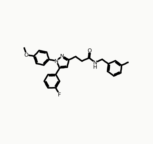 COc1ccc(-n2nc(CCC(=O)NCc3cccc(C)c3)cc2-c2cccc(F)c2)cc1